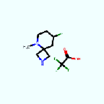 CN1CCC(F)CC12CNC2.O=C(O)C(F)(F)F